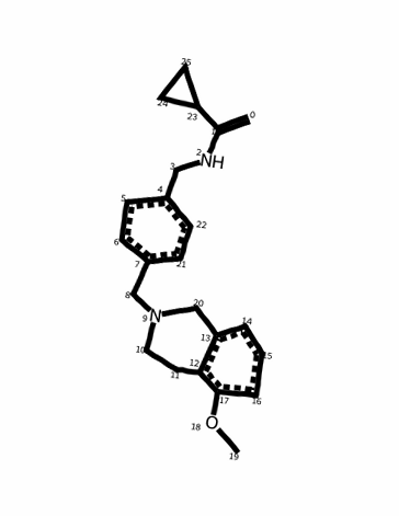 C=C(NCc1ccc(CN2CCc3c(cccc3OC)C2)cc1)C1CC1